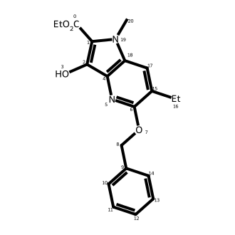 CCOC(=O)c1c(O)c2nc(OCc3ccccc3)c(CC)cc2n1C